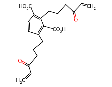 C=CC(=O)CCCc1ccc(C(=O)O)c(CCCC(=O)C=C)c1C(=O)O